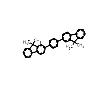 CC1(C)c2ccccc2-c2ccc(-c3ccc(-c4ccc5c(c4)C(C)(C)c4ccccc4-5)cc3)cc21